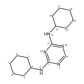 c1nc(NC2CCCCC2)nc(NC2CCCCC2)n1